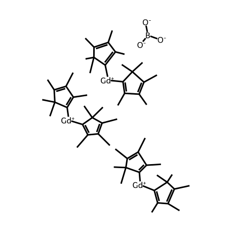 CC1=C(C)C(C)(C)[C]([Gd+][C]2=C(C)C(C)=C(C)C2(C)C)=C1C.CC1=C(C)C(C)(C)[C]([Gd+][C]2=C(C)C(C)=C(C)C2(C)C)=C1C.CC1=C(C)C(C)(C)[C]([Gd+][C]2=C(C)C(C)=C(C)C2(C)C)=C1C.[O-]B([O-])[O-]